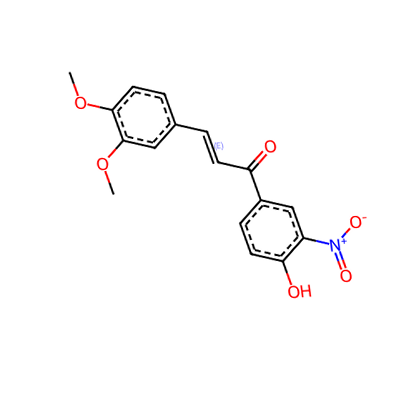 COc1ccc(/C=C/C(=O)c2ccc(O)c([N+](=O)[O-])c2)cc1OC